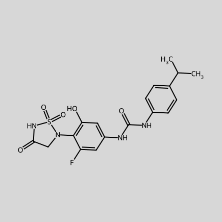 CC(C)c1ccc(NC(=O)Nc2cc(O)c(N3CC(=O)NS3(=O)=O)c(F)c2)cc1